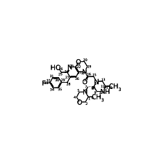 CC1COCCN1C[C@H]1CN[C@H](C)CN1CC(=O)N1CCOc2nc(CO)c(Cc3ccc(F)cc3)cc21